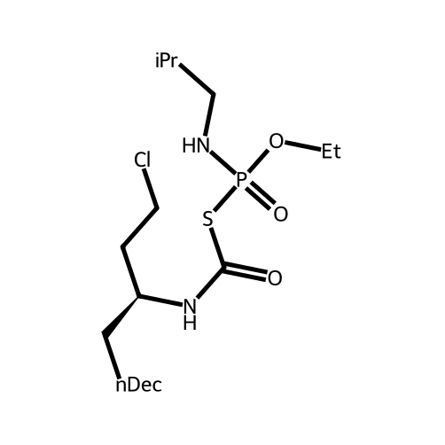 CCCCCCCCCCC[C@@H](CCCl)NC(=O)SP(=O)(NCC(C)C)OCC